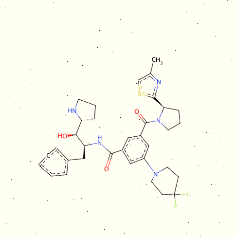 Cc1csc([C@H]2CCCN2C(=O)c2cc(C(=O)N[C@@H](Cc3ccccc3)[C@@H](O)[C@H]3CCCN3)cc(N3CCC(F)(F)CC3)c2)n1